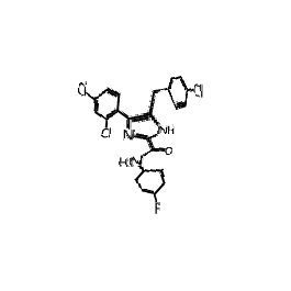 O=C(NC1CC=C(F)CC1)c1nc(-c2ccc(Cl)cc2Cl)c(Cc2ccc(Cl)cc2)[nH]1